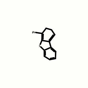 CC(C)C1=c2sc3ccccc3c2=CCC1